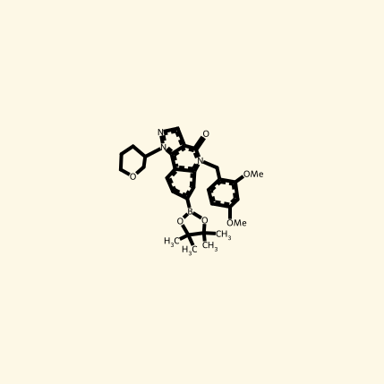 COc1ccc(Cn2c(=O)c3cnn(C4CCCOC4)c3c3ccc(B4OC(C)(C)C(C)(C)O4)cc32)c(OC)c1